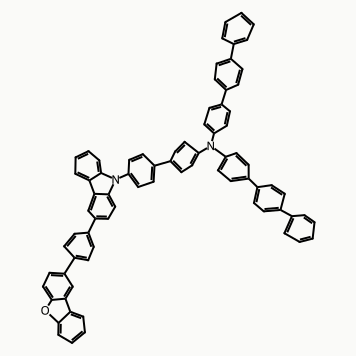 c1ccc(-c2ccc(-c3ccc(N(c4ccc(-c5ccc(-c6ccccc6)cc5)cc4)c4ccc(-c5ccc(-n6c7ccccc7c7cc(-c8ccc(-c9ccc%10oc%11ccccc%11c%10c9)cc8)ccc76)cc5)cc4)cc3)cc2)cc1